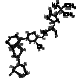 Cc1cc(-c2ncnn3cc(-c4cccnc4)cc23)ccc1CNC(=O)c1noc(C(C)(C)C)n1